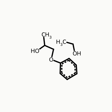 CC(O)COc1ccccc1.CCO